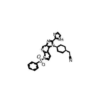 N#CCC1CCC(n2c(-c3ncc[nH]3)nc3cnc4c(ccn4S(=O)(=O)c4ccccc4)c32)CC1